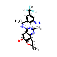 Cc1nc(N[C@H](C)c2cc(N)cc(C(F)(F)F)c2)c2cc(O)c3c(c2n1)CC(C)O3